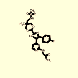 CC1(CNS(C)(=O)=O)COC(c2nc(-c3ccc(F)cc3)c(-c3ccnc(NCC(N)=O)n3)[nH]2)OC1